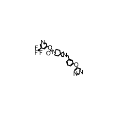 O=C(Oc1cncc(C(F)(F)F)c1)N1CCC2(CC1)CN(Cc1cccc(Oc3cncnc3)c1)C2